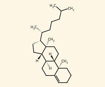 CC(C)CCC[C@@H](C)[C@H]1CC[C@H]2[C@@H]3CCC4=C[CH]CC[C@]4(C)[C@H]3CC[C@]12C